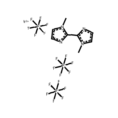 Cn1ccnc1-c1nccn1C.F[P-](F)(F)(F)(F)F.F[P-](F)(F)(F)(F)F.F[P-](F)(F)(F)(F)F.[Ir+3]